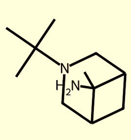 CC1(N)C2CC1CN(C(C)(C)C)C2